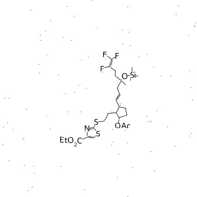 CCOC(=O)c1csc(SCCC2C(/C=C/CC(C)(CCC(F)=C(F)F)O[Si](C)(C)C)CCC2OC(C)=O)n1